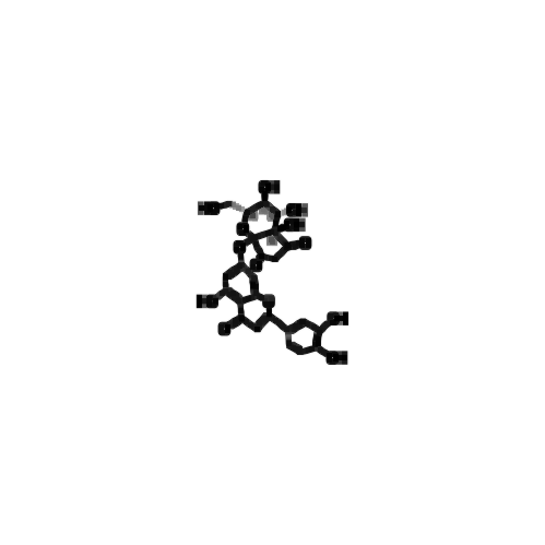 O=C1CC(=O)[C@@]2(O)[C@@H](O)[C@H](O)[C@@H](CO)OC12Oc1cc(O)c2c(=O)cc(-c3ccc(O)c(O)c3)oc2c1